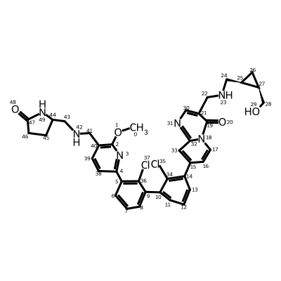 COc1nc(-c2cccc(-c3cccc(-c4ccn5c(=O)c(CNC[C@H]6C[C@H]6CO)cnc5c4)c3Cl)c2Cl)ccc1CNCC1CCC(=O)N1